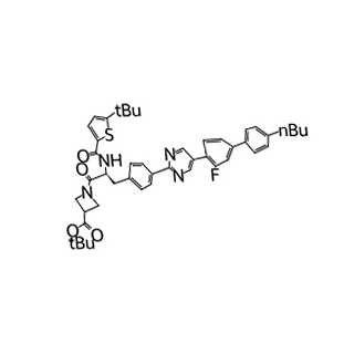 CCCCc1ccc(-c2ccc(-c3cnc(-c4ccc(C[C@H](NC(=O)c5ccc(C(C)(C)C)s5)C(=O)N5CC(C(=O)OC(C)(C)C)C5)cc4)nc3)c(F)c2)cc1